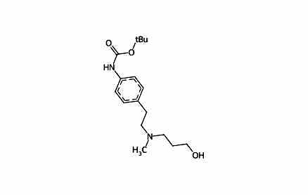 CN(CCCO)CCc1ccc(NC(=O)OC(C)(C)C)cc1